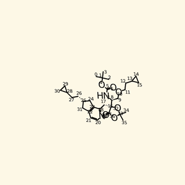 CC(C)(C)OC(=O)N[C@@H](COCCC1CC1)[C@@]1(Cc2nccc3c2C[C@@H](CCC2CC2)C3)OC(C)(C)OC1=O